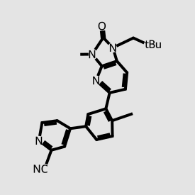 Cc1ccc(-c2ccnc(C#N)c2)cc1-c1ccc2c(n1)n(C)c(=O)n2CC(C)(C)C